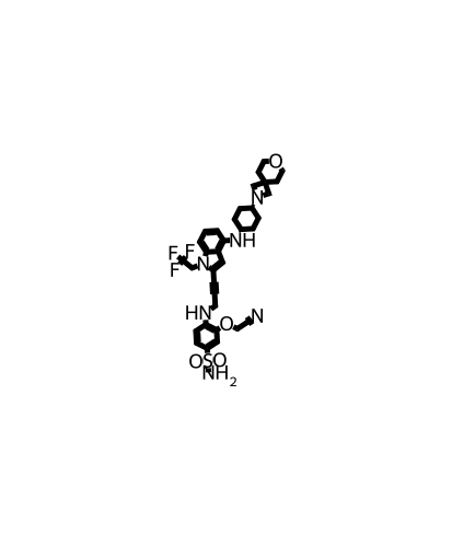 N#CCOc1cc(S(N)(=O)=O)ccc1NCC#Cc1cc2c(N[C@H]3CC[C@H](N4CC5(CCOCC5)C4)CC3)cccc2n1CC(F)(F)F